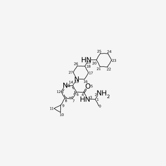 CC(N)NC(=O)c1cc(C2CC2)cnc1N1CCC(NC2CCCCC2)CC1